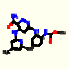 CCCc1cc(C)cc(Nc2cc(N[C@@H]3CCCC[C@@H]3NC(=O)OC(C)(C)C)nnc2C(N)=O)n1